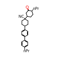 CCCc1ccc(-c2ccc(C3CCC(C#N)(C4CCC(CCC)C(=O)C4)CC3)cc2)cc1